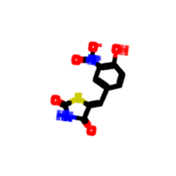 O=C1NC(=O)C(=Cc2ccc(O)c([N+](=O)[O-])c2)S1